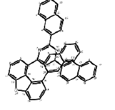 c1ccc2cc(C3=NC(c4cccc5oc6cccc(-c7ccc8ccccc8c7)c6c45)=NC(c4ccc5ccccc5c4)N3)ccc2c1